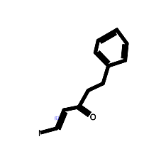 O=C(/C=C/I)CCc1ccccc1